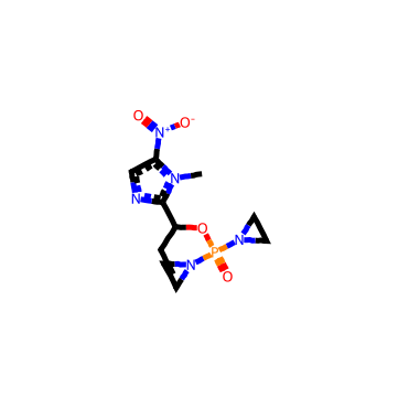 CCC(OP(=O)(N1CC1)N1CC1)c1ncc([N+](=O)[O-])n1C